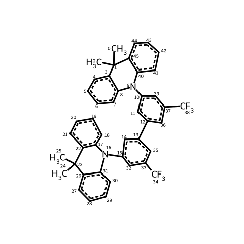 CC1(C)c2ccccc2N(c2cc(-c3cc(N4c5ccccc5C(C)(C)c5ccccc54)cc(C(F)(F)F)c3)cc(C(F)(F)F)c2)c2ccccc21